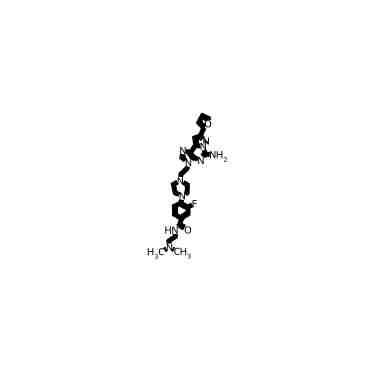 CN(C)CCNC(=O)c1ccc(N2CCN(CCn3cnc4c3nc(N)n3nc(-c5ccco5)cc43)CC2)c(F)c1